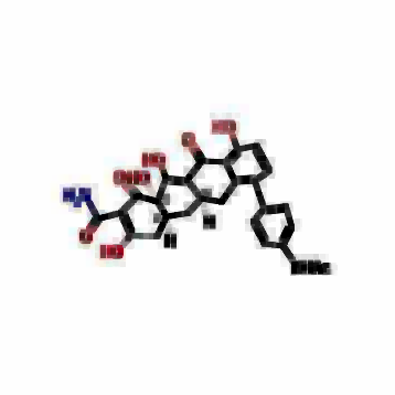 CC(=O)Nc1ccc(-c2ccc(O)c3c2C[C@H]2C[C@H]4CC(O)=C(C(N)=O)C(=O)[C@@]4(O)C(O)=C2C3=O)cc1